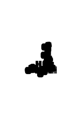 COc1cccc(CNC(=O)c2cc3c(=O)n(C(C)c4ccc(C(=O)OCOC(=O)C(C)(C)C)cc4)c(=O)[nH]c3s2)c1